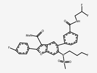 CNC(=O)c1c(-c2ccc(F)cc2)oc2cc(N(CCCF)S(C)(=O)=O)c(-c3cccc(C(=O)NCC(F)F)c3)cc12